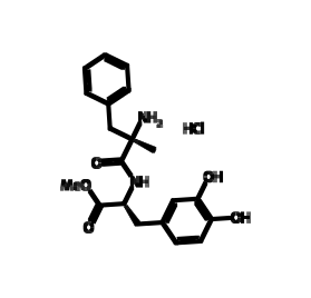 COC(=O)[C@H](Cc1ccc(O)c(O)c1)NC(=O)[C@@](C)(N)Cc1ccccc1.Cl